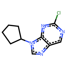 Clc1ncc2ncn(C3CCCC3)c2n1